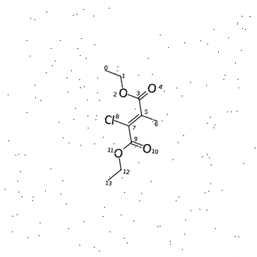 CCOC(=O)C(C)=C(Cl)C(=O)OCC